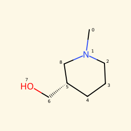 CN1CCC[C@H](CO)C1